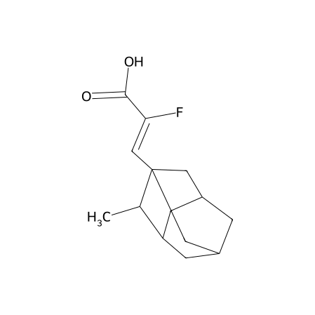 CC1C2CC3CC(C2)CC1(C=C(F)C(=O)O)C3